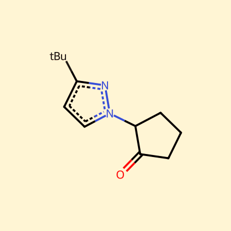 CC(C)(C)c1ccn(C2CCCC2=O)n1